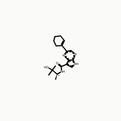 C[C@H](NC(=O)c1c[nH]c2ncc(C3=CCCCC3)nc12)C(C)(C)O